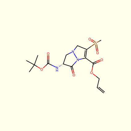 C=CCOC(=O)C1=C(S(C)(=O)=O)CN2C[C@@H](NC(=O)OC(C)(C)C)C(=O)N12